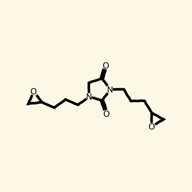 O=C1CN(CCCC2CO2)C(=O)N1CCCC1CO1